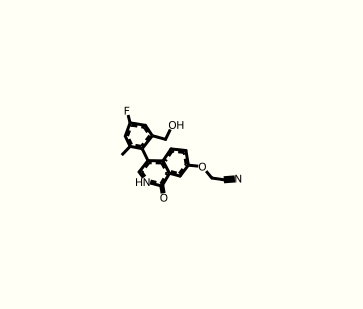 Cc1cc(F)cc(CO)c1-c1c[nH]c(=O)c2cc(OCC#N)ccc12